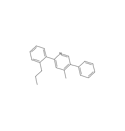 CCCc1ccccc1-c1cc(C)c(-c2ccccc2)cn1